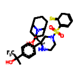 CC(O)(c1ccc([C@]2(CN3C4CCCC3CC(O)C4)CN(S(=O)(=O)C3=CC=CCC3=S)CCN2)cc1)C(F)(F)F